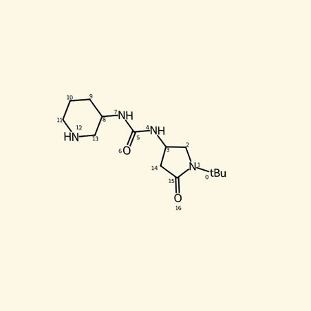 CC(C)(C)N1CC(NC(=O)NC2CCCNC2)CC1=O